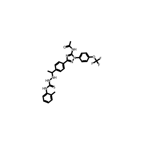 CC(=O)Nc1nc(-c2ccc(C(C)NNC(=S)Nc3ccccc3C)cc2)nn1-c1ccc(OC(F)(F)F)cc1